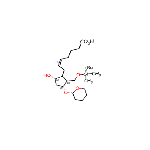 CC(C)(C)[Si](C)(C)OC[C@@H]1C(C/C=C\CCCC(=O)O)[C@@H](O)C[C@H]1OC1CCCCO1